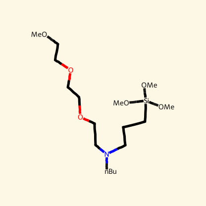 CCCCN(CCC[Si](OC)(OC)OC)CCOCCOCCOC